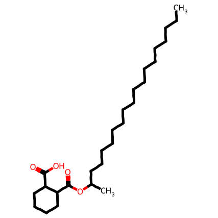 CCCCCCCCCCCCCCCCCC(C)OC(=O)C1CCCCC1C(=O)O